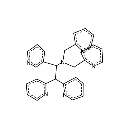 c1ccc(CN(Cc2ccccn2)C(c2cccnc2)C(c2ccccn2)c2ccccn2)nc1